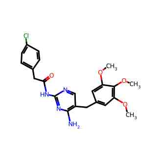 COc1cc(Cc2cnc(NC(=O)Cc3ccc(Cl)cc3)nc2N)cc(OC)c1OC